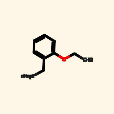 CCCCCCCCc1ccccc1OCC=O